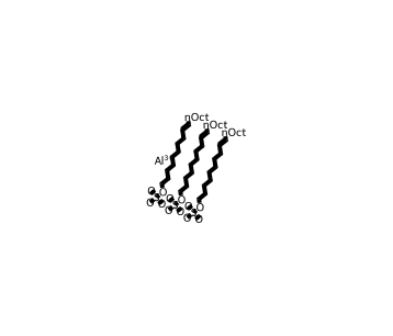 CCCCCCCCC=CCCCCCCCCOS(=O)(=O)[O-].CCCCCCCCC=CCCCCCCCCOS(=O)(=O)[O-].CCCCCCCCC=CCCCCCCCCOS(=O)(=O)[O-].[Al+3]